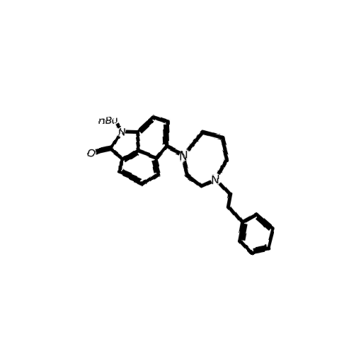 CCCCN1C(=O)c2cccc3c(N4CCCN(CCc5ccccc5)CC4)ccc1c23